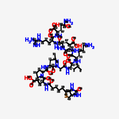 CC(C)C[C@H](NC(=O)CNC(=O)[C@H](CC(C)C)NC(=O)[C@@H]1CCCN1C(=O)[C@H](CCC(=O)O)NC(=O)CCCCC1SCC2NC(=O)NC21)C(=O)N[C@@H](CCCCN)C(=O)N[C@@H](C)C(=O)N[C@@H](CCC(=O)O)C(=O)N[C@@H](CCCNC(=N)N)C(=O)N[C@@H](CCC(N)=O)C(=O)O